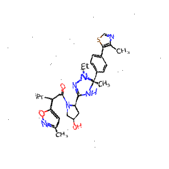 CCN1N=C([C@H]2C[C@@H](O)CN2C(=O)C(c2cc(C)no2)C(C)C)N[C@@]1(C)c1ccc(-c2scnc2C)cc1